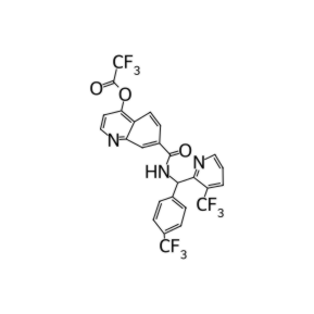 O=C(NC(c1ccc(C(F)(F)F)cc1)c1ncccc1C(F)(F)F)c1ccc2c(OC(=O)C(F)(F)F)ccnc2c1